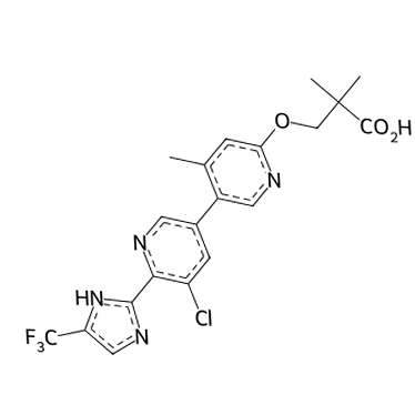 Cc1cc(OCC(C)(C)C(=O)O)ncc1-c1cnc(-c2ncc(C(F)(F)F)[nH]2)c(Cl)c1